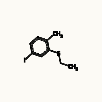 CCSc1cc(I)ccc1C